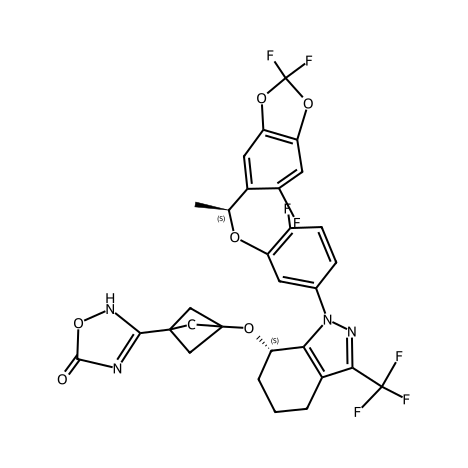 C[C@H](Oc1cc(-n2nc(C(F)(F)F)c3c2[C@@H](OC24CC(c5nc(=O)o[nH]5)(C2)C4)CCC3)ccc1F)c1cc2c(cc1F)OC(F)(F)O2